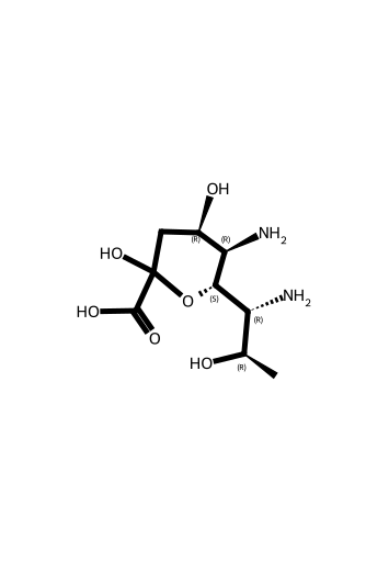 C[C@@H](O)[C@@H](N)[C@@H]1OC(O)(C(=O)O)C[C@@H](O)[C@H]1N